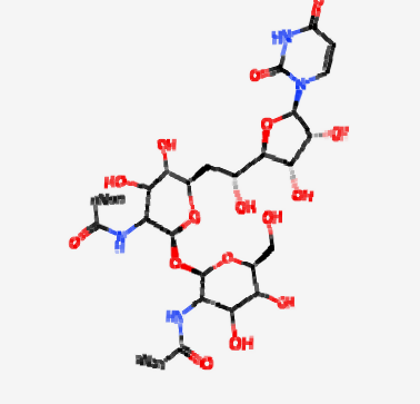 CCCCCCCCCC(=O)NC1C(O)C(O)[C@H](CO)O[C@@H]1O[C@@H]1O[C@H](C[C@@H](O)[C@H]2O[C@@H](n3ccc(=O)[nH]c3=O)[C@H](O)[C@@H]2O)C(O)C(O)C1NC(=O)CCCCCCCCC